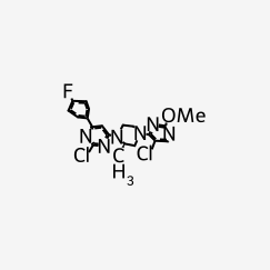 COc1ncc(Cl)c(N2CCN(c3cc(-c4ccc(F)cc4)nc(Cl)n3)[C@H](C)C2)n1